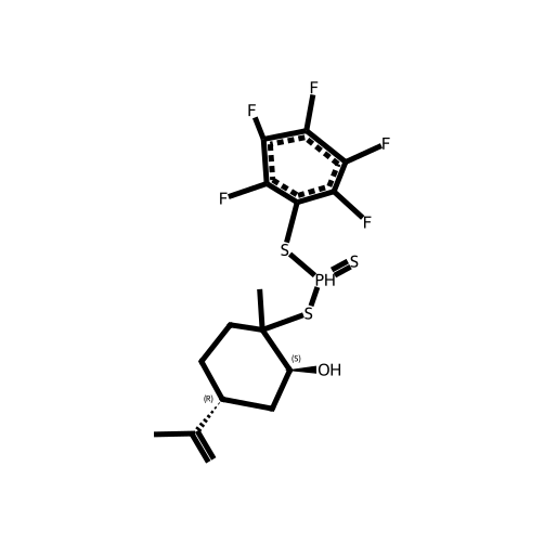 C=C(C)[C@@H]1CCC(C)(S[PH](=S)Sc2c(F)c(F)c(F)c(F)c2F)[C@@H](O)C1